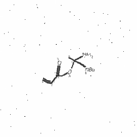 C=CC(=O)OC(C)(N)CCCC